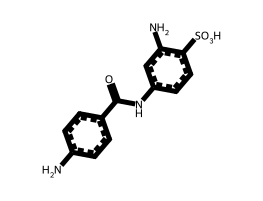 Nc1ccc(C(=O)Nc2ccc(S(=O)(=O)O)c(N)c2)cc1